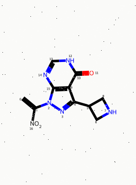 C=C(n1nc(C2CNC2)c2c(=O)[nH]cnc21)[N+](=O)[O-]